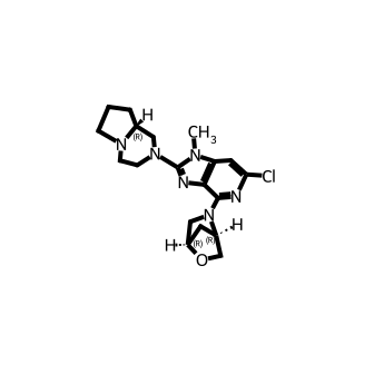 Cn1c(N2CCN3CCC[C@@H]3C2)nc2c(N3C[C@H]4C[C@@H]3CO4)nc(Cl)cc21